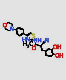 CC1(NC(=O)/C(C#N)=C/c2ccc(O)c(O)c2)NC(c2ccc(N3CCOCC3)cc2)=CS1